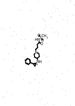 CS(=O)(=O)NC(=O)CCCN1CCC(N[C@@H]2CC2c2ccccc2)CC1